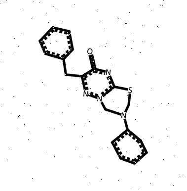 O=c1nc2n(nc1Cc1ccccc1)CN(c1ccccc1)CS2